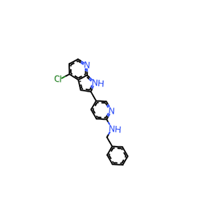 Clc1ccnc2[nH]c(-c3ccc(NCc4ccccc4)nc3)cc12